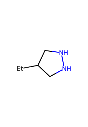 [CH2]CC1CNNC1